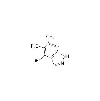 Cc1cc2[nH]ncc2c(C(C)C)c1C(F)(F)F